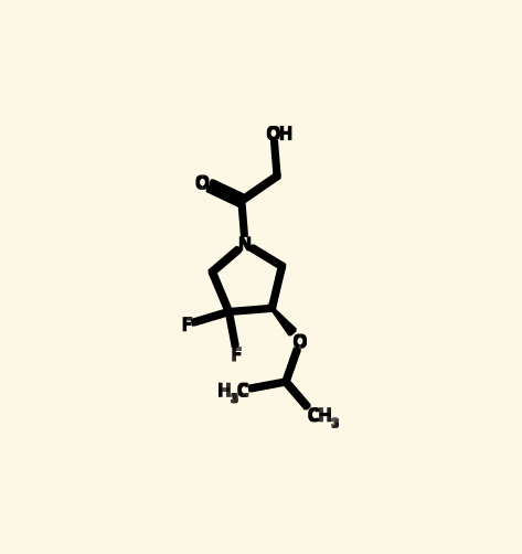 CC(C)O[C@@H]1CN(C(=O)CO)CC1(F)F